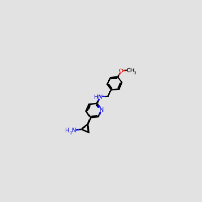 COc1ccc(CNc2ccc(C3CC3N)cn2)cc1